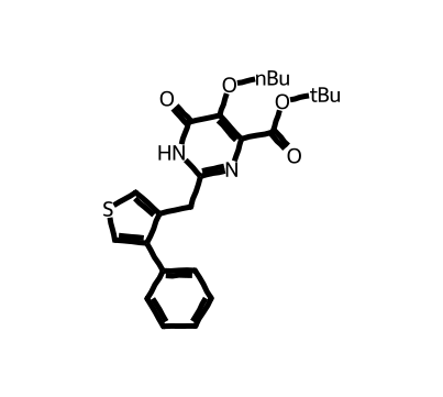 CCCCOc1c(C(=O)OC(C)(C)C)nc(Cc2cscc2-c2ccccc2)[nH]c1=O